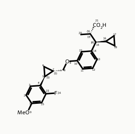 COc1ccc([C@H]2C[C@@H]2COc2cccc([C@H](C3CC3)[C@H](C)C(=O)O)c2)c(F)c1